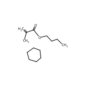 C1CCCCC1.C=C(C)C(=O)OCCCC